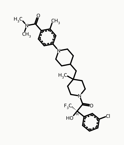 Cc1cc(N2CCC(CC3(C)CCN(C(=O)[C@](O)(c4cccc(Cl)c4)C(F)(F)F)CC3)CC2)ccc1C(=O)N(C)C